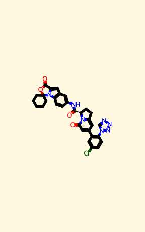 O=C1OC2(CCCCC2)n2c1cc1cc(NC(=O)[C@@H]3CCc4cc(-c5cc(Cl)ccc5-n5cnnn5)cc(=O)n43)ccc12